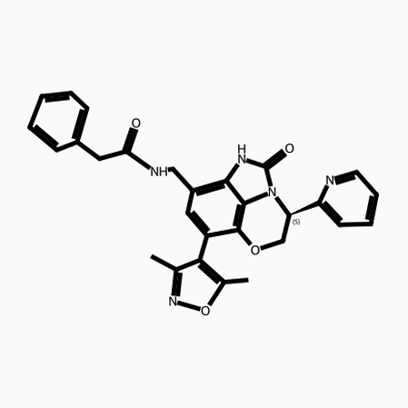 Cc1noc(C)c1-c1cc(CNC(=O)Cc2ccccc2)c2[nH]c(=O)n3c2c1OC[C@@H]3c1ccccn1